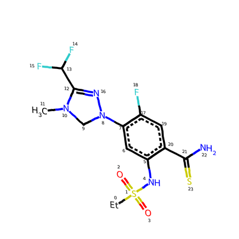 CCS(=O)(=O)Nc1cc(N2CN(C)C(C(F)F)=N2)c(F)cc1C(N)=S